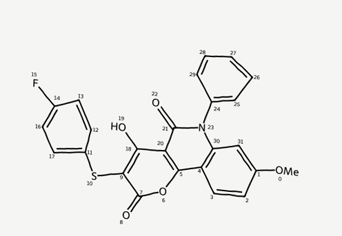 COc1ccc2c3oc(=O)c(Sc4ccc(F)cc4)c(O)c3c(=O)n(-c3ccccc3)c2c1